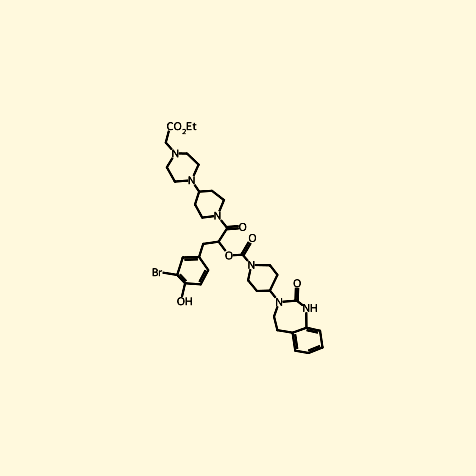 CCOC(=O)CN1CCN(C2CCN(C(=O)C(Cc3ccc(O)c(Br)c3)OC(=O)N3CCC(N4CCc5ccccc5NC4=O)CC3)CC2)CC1